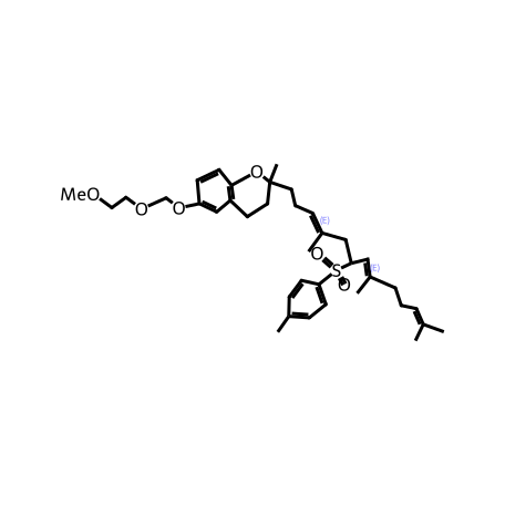 COCCOCOc1ccc2c(c1)CCC(C)(CC/C=C(\C)CC(/C=C(\C)CCC=C(C)C)S(=O)(=O)c1ccc(C)cc1)O2